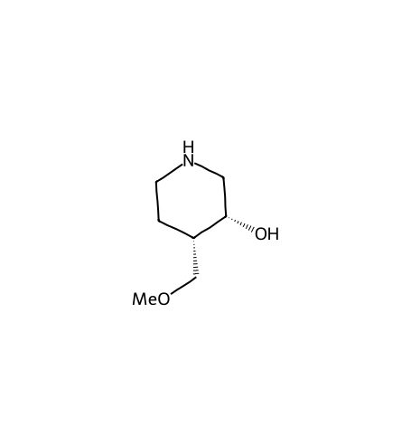 COC[C@@H]1CCNC[C@@H]1O